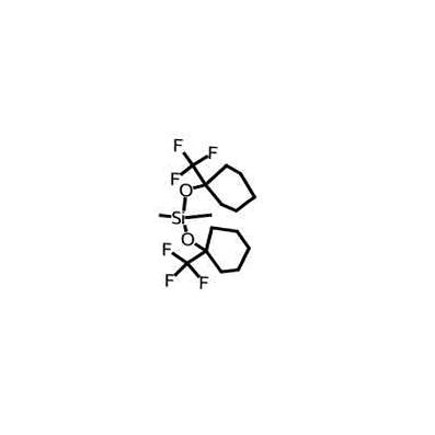 C[Si](C)(OC1(C(F)(F)F)CCCCC1)OC1(C(F)(F)F)CCCCC1